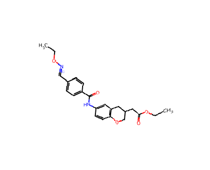 CCO/N=C/c1ccc(C(=O)Nc2ccc3c(c2)CC(CC(=O)OCC)CO3)cc1